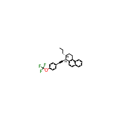 CCC[C@@H]1CCc2c(ccc3ccccc23)[C@H]1C#Cc1ccc(OC(F)(F)F)cc1